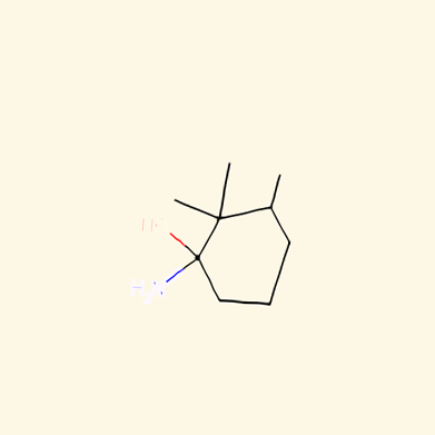 CC1CCCC(N)(O)C1(C)C